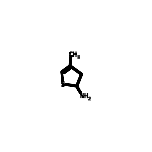 CC1=CSC(N)C1